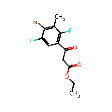 CCOC(=O)CC(=O)c1cc(F)c(Br)c(C)c1F